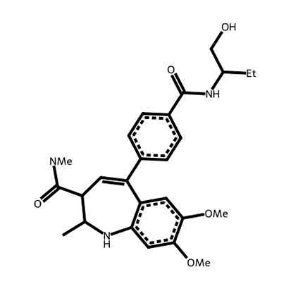 CCC(CO)NC(=O)c1ccc(C2=CC(C(=O)NC)C(C)Nc3cc(OC)c(OC)cc32)cc1